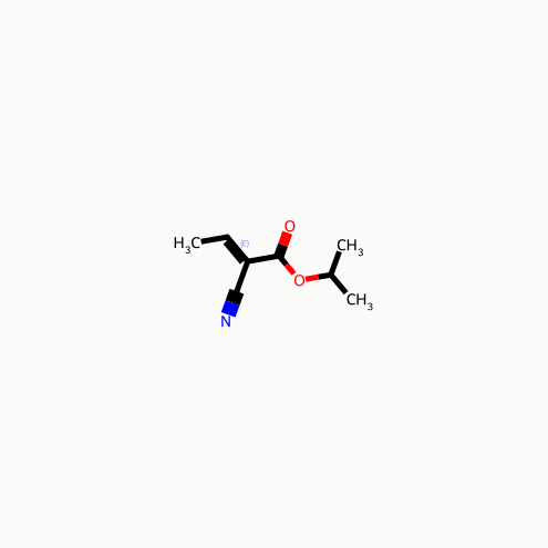 C/C=C(\C#N)C(=O)OC(C)C